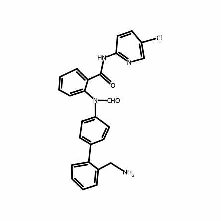 NCc1ccccc1-c1ccc(N(C=O)c2ccccc2C(=O)Nc2ccc(Cl)cn2)cc1